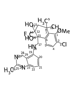 COc1c(Cl)ccc2c1C(C)(C)CC(O)(C(F)(F)F)C2(O)CNc1cccc2nc(C)ncc12